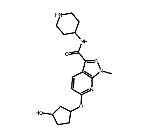 Cn1nc(C(=O)NC2CCNCC2)c2ccc(OC3CCC(O)C3)nc21